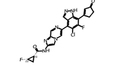 O=C1C=C(c2c(F)c(Cl)c(-c3cn4cc(NC(=O)[C@@H]5C[C@@H]5F)nc4cn3)c3cn[nH]c23)CC1